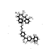 CC1=C(C(=O)CC(C)C(C)C(=O)c2ccc(OCCOc3ccc(C(=O)C(C)C(C)CC(=O)C4=C(C)C=CCC4(C)C)cc3)cc2)C(C)(C)CC=C1